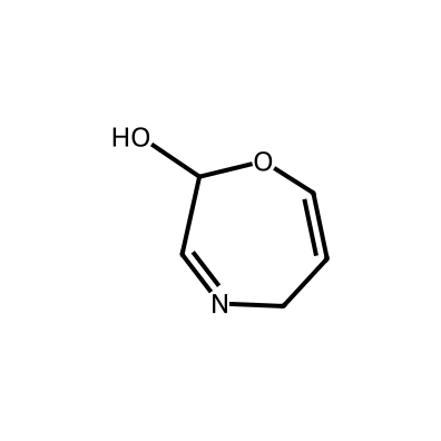 OC1C=NCC=CO1